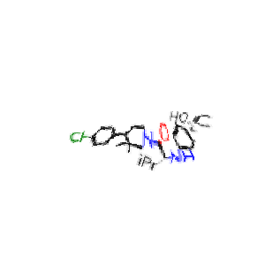 CC(C)[C@@H](Nc1cccc(C(=O)O)c1)C(=O)N1CCC(c2ccc(Cl)cc2)C(C)(C)C1